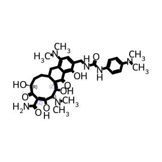 CN(C)c1ccc(NC(=O)NCc2cc(N(C)C)c3c(c2O)C(=O)/C2=C(\O)[C@H](N(C)C)/C(O)=C(/C(N)=O)C(=O)[C@H](O)CCC2C3)cc1